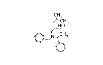 CC(C)C[C@H](CO)CN(Cc1ccccc1)[C@@H](C)c1ccccc1